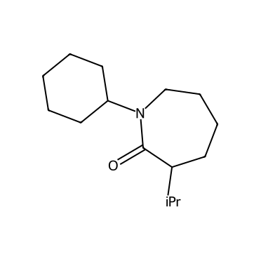 CC(C)C1CCCCN(C2CCCCC2)C1=O